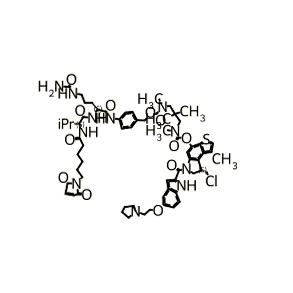 Cc1csc2c(OC(=O)N(C)CC(C)(C)CN(C)C(=O)OCc3ccc(NC(=O)[C@H](CCCNC(N)=O)NC(=O)[C@@H](NC(=O)CCCCCN4C(=O)C=CC4=O)C(C)C)cc3)cc3c(c12)[C@H](CCl)CN3C(=O)c1cc2cc(OCCN3CCCC3)ccc2[nH]1